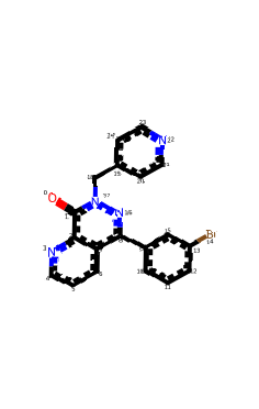 O=c1c2ncccc2c(-c2cccc(Br)c2)nn1Cc1ccncc1